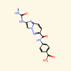 CNC(=O)Nc1cn2nc(C(=O)Nc3ccc(C(=O)O)cc3)ccc2n1